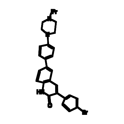 CC(C)N1CCN(c2ccc(-c3ccc4[nH]c(=O)c(-c5ccc(Br)cc5)cc4c3)cc2)CC1